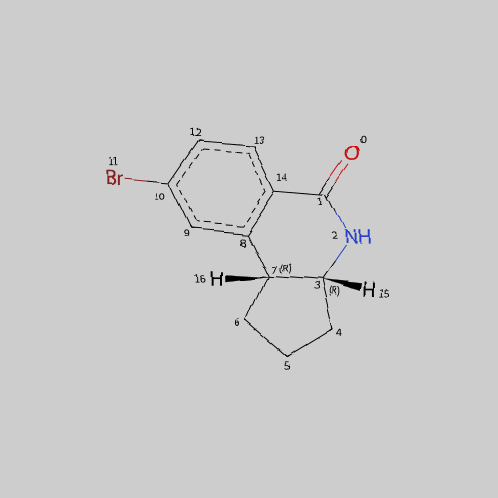 O=C1N[C@@H]2CCC[C@@H]2c2cc(Br)ccc21